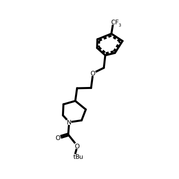 CC(C)(C)OC(=O)N1CCC(CCOCc2ccc(C(F)(F)F)cc2)CC1